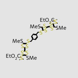 CCOC(=O)S(C)(C)C1=C(SC)S/C(=C2/SC(SC)=C(SCc3ccc(CSC4=C(SC)S/C(=C5/SC(SC)=C(S(C)(C)C(=O)OCC)S5)S4)cc3)S2)S1